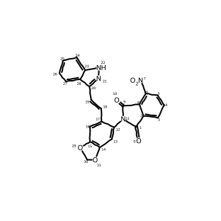 O=C1c2cccc([N+](=O)[O-])c2C(=O)N1c1cc2c(cc1/C=C/c1n[nH]c3ccccc13)OCO2